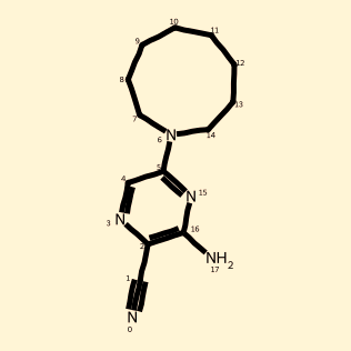 N#Cc1ncc(N2CCCCCCCC2)nc1N